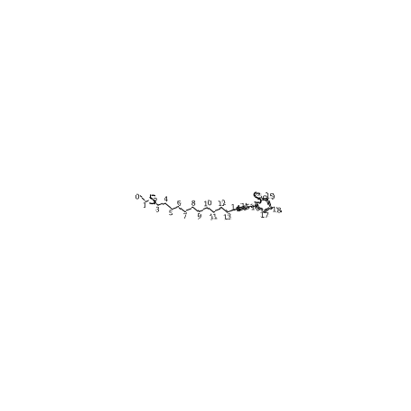 CCSCCCCCCCCCCCC#Cc1cccs1